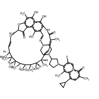 CO[C@H]1/C=C/O[C@@]2(C)Oc3c(C)c(O)c4c(O)c(c(/C=N/N5CCN(C6CCN(c7c(F)cn8c(=O)c(C)cc(C9CC9)c8c7C)C6)CC5)c(O)c4c3C2=O)NC(=O)/C(C)=C\C=C\[C@H](C)[C@H](O)[C@@H](C)[C@@H](O)[C@@H](C)[C@H](OC(C)=O)[C@@H]1C